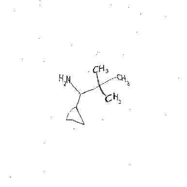 CC(C)(C)C(N)C1CC1